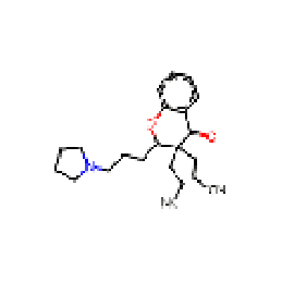 N#CCCC1(CCC#N)C(=O)c2ccccc2OC1CCCN1CCCC1